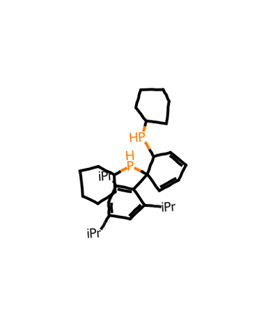 CC(C)c1cc(C(C)C)c(C2(PC3CCCCC3)C=CC=CC2PC2CCCCC2)c(C(C)C)c1